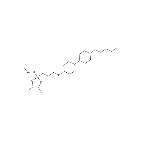 CCCCCC1CCC(C2CCC(OCCC[Si](OCC)(OCC)OCC)CC2)CC1